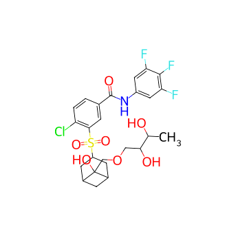 CC(O)C(O)COCC1(O)C2CC1CC(S(=O)(=O)c1cc(C(=O)Nc3cc(F)c(F)c(F)c3)ccc1Cl)C2